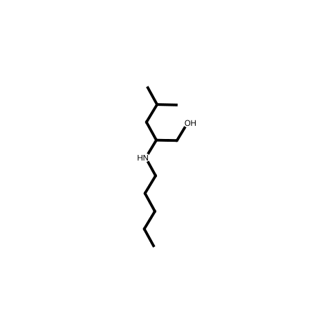 CCCCCNC(CO)CC(C)C